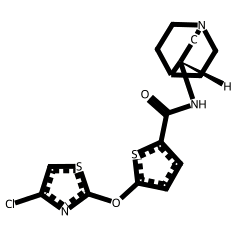 O=C(N[C@H]1CN2CCC1CC2)c1ccc(Oc2nc(Cl)cs2)s1